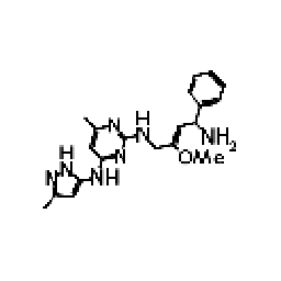 CO/C(=C\C(N)c1ccccc1)CNc1nc(C)cc(Nc2cc(C)n[nH]2)n1